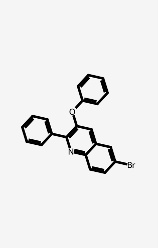 Brc1ccc2nc(-c3ccccc3)c(Oc3ccccc3)cc2c1